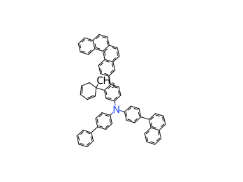 CC1(c2cc(N(c3ccc(-c4ccccc4)cc3)c3ccc(-c4cccc5ccccc45)cc3)ccc2-c2ccc3c(ccc4ccc5ccccc5c43)c2)C=CC=CC1